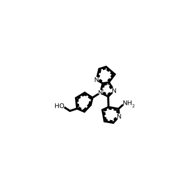 Nc1ncccc1-c1nc2cccnc2n1-c1ccc(CO)cc1